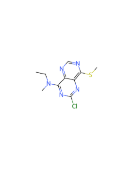 CCN(C)c1nc(Cl)nc2c(SC)ncnc12